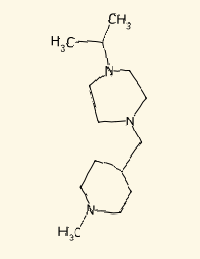 CC(C)N1CCN(CC2CCN(C)CC2)CC1